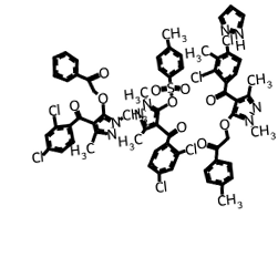 Cc1ccc(C(=O)COc2c(C(=O)c3ccc(Cl)c(C)c3Cl)c(C)nn2C)cc1.Cc1ccc(S(=O)(=O)Oc2c(C(=O)c3ccc(Cl)cc3Cl)c(C)nn2C)cc1.Cc1nn(C)c(OCC(=O)c2ccccc2)c1C(=O)c1ccc(Cl)cc1Cl.c1cn[nH]c1